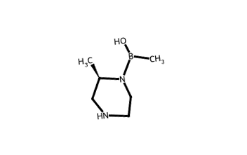 CB(O)N1CCNC[C@H]1C